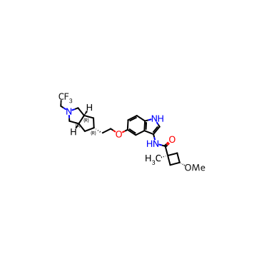 CO[C@H]1C[C@](C)(C(=O)Nc2c[nH]c3ccc(OCC[C@@H]4C[C@@H]5CN(CC(F)(F)F)C[C@@H]5C4)cc23)C1